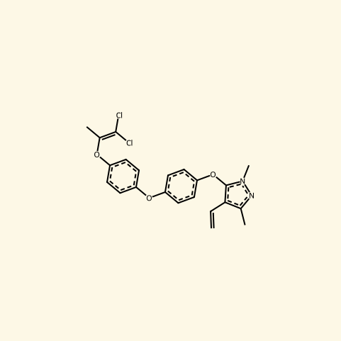 C=Cc1c(C)nn(C)c1Oc1ccc(Oc2ccc(OC(C)=C(Cl)Cl)cc2)cc1